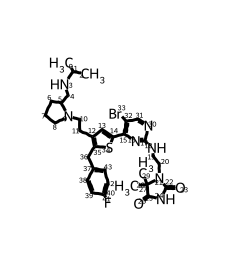 CC(C)NCC1CCCN1CCc1cc(-c2nc(NCCN3C(=O)NC(=O)C3(C)C)ncc2Br)sc1Cc1ccc(F)cc1